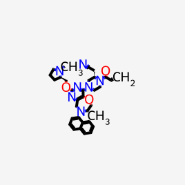 C=CC(=O)N1CCN(c2nc(OC[C@H]3CCCN3C)nc3c2OCCN(c2cccc4cccc(C)c24)C3)C[C@@H]1CC#N